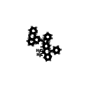 CC1(C)c2ccccc2N(c2ccccc2)c2cc3c4ccccc4n(-c4nc5c6c(cccc6n4)Sc4cccnc4-5)c3cc21